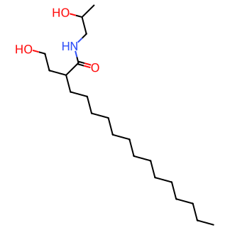 CCCCCCCCCCCCCCC(CCO)C(=O)NCC(C)O